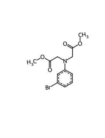 COC(=O)CN(CC(=O)OC)c1cccc(Br)c1